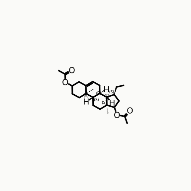 CC[C@H]1CC(OC(C)=O)[C@@]2(C)CC[C@H]3[C@@H](CC=C4CC(OC(C)=O)CC[C@@]43C)[C@H]12